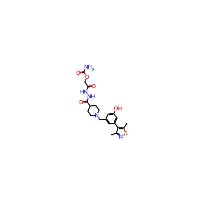 Cc1noc(C)c1-c1cc(O)cc(CN2CCC(C(=O)NNC(=O)COC(N)=O)CC2)c1